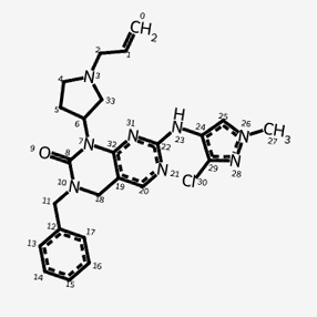 C=CCN1CCC(N2C(=O)N(Cc3ccccc3)Cc3cnc(Nc4cn(C)nc4Cl)nc32)C1